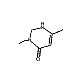 CC1=CC(=O)N(C)CN1